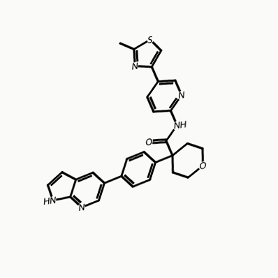 Cc1nc(-c2ccc(NC(=O)C3(c4ccc(-c5cnc6[nH]ccc6c5)cc4)CCOCC3)nc2)cs1